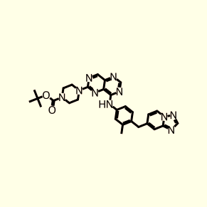 Cc1cc(Nc2ncnc3cnc(N4CCN(C(=O)OC(C)(C)C)CC4)nc23)ccc1Cc1ccn2ncnc2c1